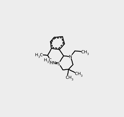 CCN1CC(C)(C)CS(=N)C1c1ccccc1C(C)C